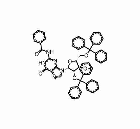 O=C(Nc1nc2c(ncn2[C@@H]2O[C@H](COC(c3ccccc3)(c3ccccc3)c3ccccc3)[C@@H](O)[C@H]2OC(c2ccccc2)(c2ccccc2)c2ccccc2)c(=O)[nH]1)c1ccccc1